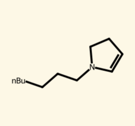 CCCCCCCN1C=CCC1